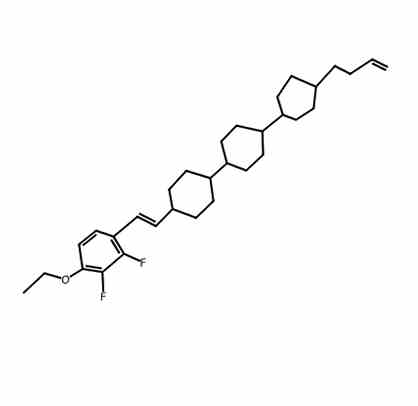 C=CCCC1CCC(C2CCC(C3CCC(/C=C/c4ccc(OCC)c(F)c4F)CC3)CC2)CC1